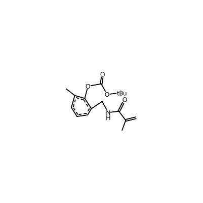 C=C(C)C(=O)NCc1cccc(C)c1OC(=O)OC(C)(C)C